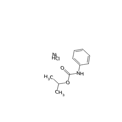 CC(C)OC(=O)Nc1ccccc1.Cl.[Ni]